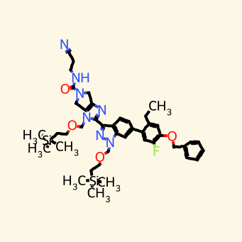 CCc1cc(OCc2ccccc2)c(F)cc1-c1ccc2c(-c3nc4c(n3COCC[Si](C)(C)C)CN(C(=O)NCCC#N)C4)nn(COCC[Si](C)(C)C)c2c1